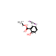 CCOC(=O)c1ccccc1O.[I][Zn][I]